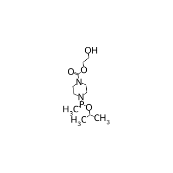 CC(C)OP(C)N1CCN(C(=O)OCCO)CC1